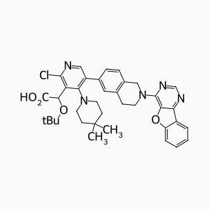 CC1(C)CCN(c2c(-c3ccc4c(c3)CCN(c3ncnc5c3oc3ccccc35)C4)cnc(Cl)c2C(OC(C)(C)C)C(=O)O)CC1